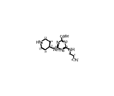 COc1nc(NCCO)nc(NC2CCNCC2)n1